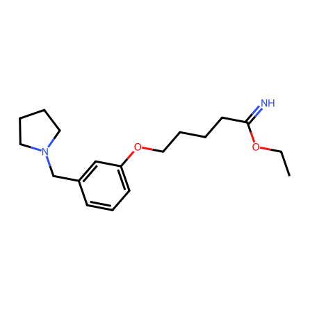 CCOC(=N)CCCCOc1cccc(CN2CCCC2)c1